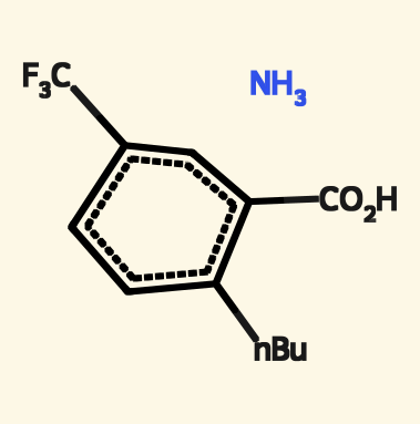 CCCCc1ccc(C(F)(F)F)cc1C(=O)O.N